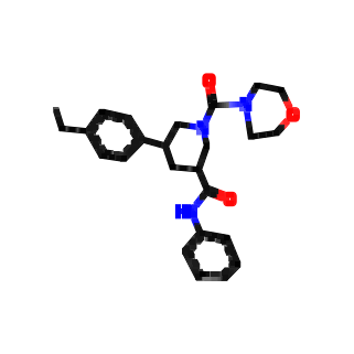 CCc1ccc(C2CC(C(=O)Nc3ccccc3)CN(C(=O)N3CCOCC3)C2)cc1